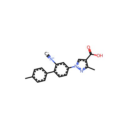 [C-]#[N+]c1cc(-n2cc(C(=O)O)c(C)n2)ccc1-c1ccc(C)cc1